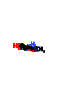 Cn1cc(N)c(C(=O)NCCOCCOc2cc(-c3cccc(C(=O)O)n3)ccn2)n1